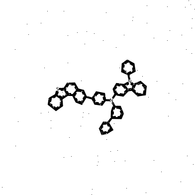 c1ccc(-c2cccc(N(c3ccc(-c4ccc5c(ccc6sc7ccccc7c65)c4)cc3)c3ccc4c(c3)c3ccccc3n4-c3ccccc3)c2)cc1